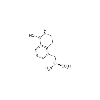 N[C@@H](Cc1cccc2c1CCNB2O)C(=O)O